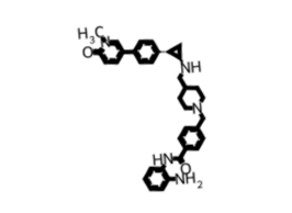 Cn1cc(-c2ccc([C@@H]3C[C@H]3NCC3CCN(Cc4ccc(C(=O)Nc5ccccc5N)cc4)CC3)cc2)ccc1=O